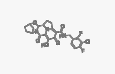 O=C(NCc1ccc(F)c(Cl)c1F)c1c2n3c(c(O)c1=O)C(=O)N1C4CCC(C4)OC1C3CC2